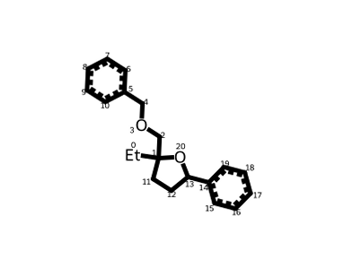 CCC1(COCc2ccccc2)CCC(c2ccccc2)O1